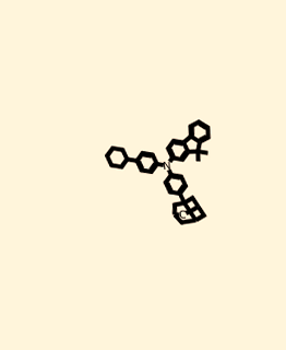 CC1(C)c2ccccc2-c2ccc(N(c3ccc(C4CCCCC4)cc3)c3ccc(C45CC6CC7CC(C4)C75C6)cc3)cc21